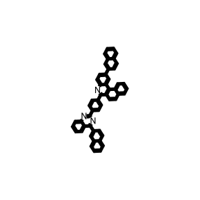 c1ccc2cc(-c3ccc4nc(-c5ccc(-c6nc(-c7ccc8ccccc8c7)c7ccccc7n6)cc5)c5ccc6ccccc6c5c4c3)ccc2c1